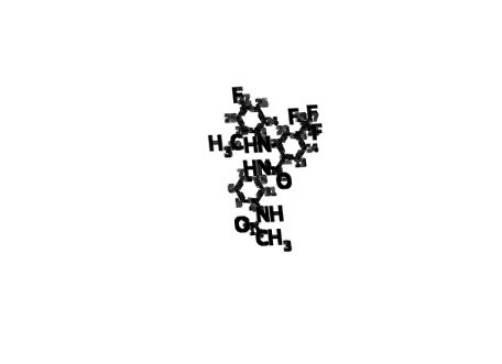 CC(=O)Nc1cccc(NC(=O)c2ccc(C(F)(F)F)cc2Nc2ccc(F)cc2C)c1